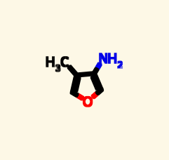 Cc1cocc1N